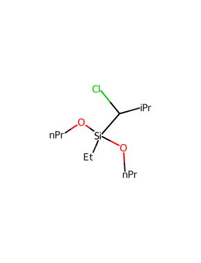 CCCO[Si](CC)(OCCC)C(Cl)C(C)C